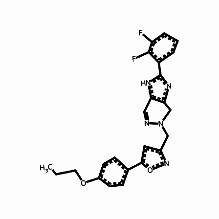 CCCOc1ccc(-c2cc(CN3Cc4nc(-c5cccc(F)c5F)[nH]c4C=N3)no2)cc1